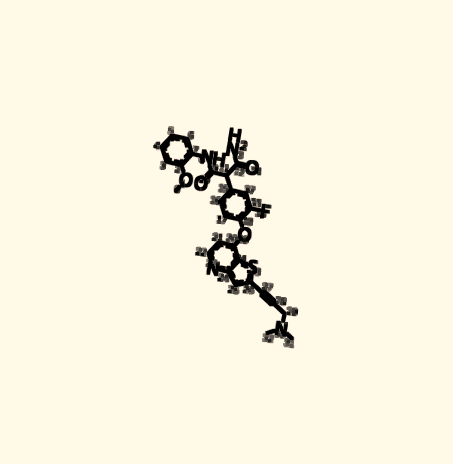 COc1ccccc1NC(=O)C(C(N)=O)c1ccc(Oc2ccnc3cc(C#CCN(C)C)sc23)c(F)c1